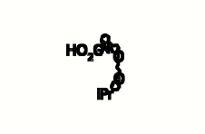 CC(C)c1ccc(OCCCCCOc2ccc3c4ccccc4n(CC(=O)O)c3c2)cc1